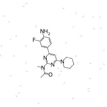 CC(=O)N(C)c1nc(-c2ccc(N)c(F)c2)cc(N2CCCCC2)n1